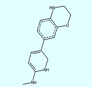 CNC1=CC=C(c2ccc3c(c2)OCCN3)CN1